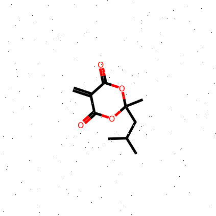 C=C1C(=O)OC(C)(CC(C)C)OC1=O